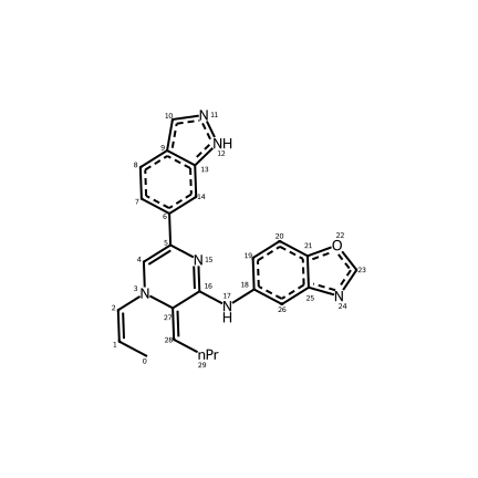 C/C=C\N1C=C(c2ccc3cn[nH]c3c2)N=C(Nc2ccc3ocnc3c2)/C1=C\CCC